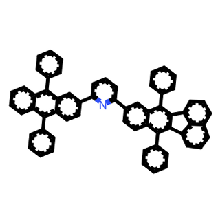 c1ccc(-c2c3c(c(-c4ccccc4)c4cc(-c5cccc(-c6ccc7c(-c8ccccc8)c8ccccc8c(-c8ccccc8)c7c6)n5)ccc24)-c2cccc4cccc-3c24)cc1